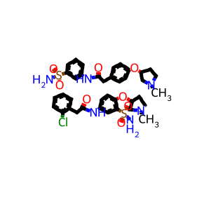 CN1CCC(Oc2ccc(CC(=O)Nc3cccc(S(N)(=O)=O)c3)cc2)C1.CN1CCC(Oc2ccc(NC(=O)Cc3ccccc3Cl)cc2S(N)(=O)=O)C1